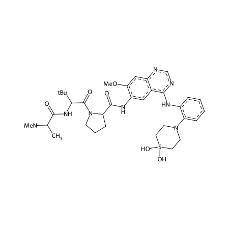 CNC(C)C(=O)NC(C(=O)N1CCCC1C(=O)Nc1cc2c(Nc3ccccc3N3CCS(O)(O)CC3)ncnc2cc1OC)C(C)(C)C